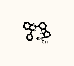 OB(O)C1=c2oc3c(-c4nc(-c5ccccc5)c5ccccc5n4)cccc3c2=CCC1